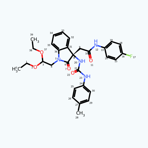 CCOC(CN1C(=O)[C@@](CC(=O)Nc2ccc(F)cc2)(NC(=O)Nc2ccc(C)cc2)c2ccccc21)OCC